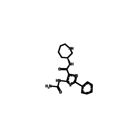 NC(=O)Nc1sc(-c2ccccc2)nc1C(=O)N[C@H]1CCCCNC1